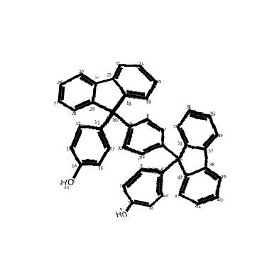 Oc1ccc(C2(c3ccc(C4(c5ccc(O)cc5)c5ccccc5-c5ccccc54)cc3)c3ccccc3-c3ccccc32)cc1